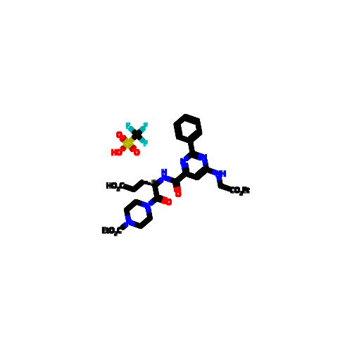 CCOC(=O)CNc1cc(C(=O)N[C@@H](CCC(=O)O)C(=O)N2CCN(C(=O)OCC)CC2)nc(-c2ccccc2)n1.O=S(=O)(O)C(F)(F)F